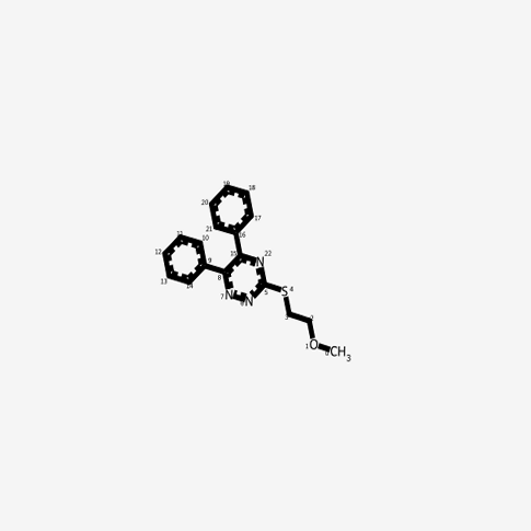 COCCSc1nnc(-c2ccccc2)c(-c2ccccc2)n1